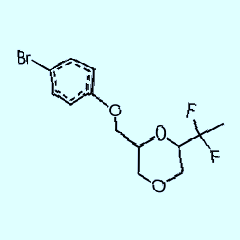 CC(F)(F)C1COCC(COc2ccc(Br)cc2)O1